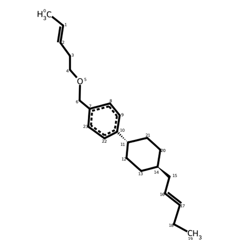 C/C=C/CCOCc1ccc([C@H]2CC[C@H](C/C=C/CC)CC2)cc1